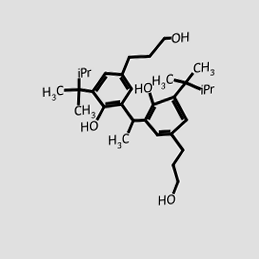 CC(c1cc(CCCO)cc(C(C)(C)C(C)C)c1O)c1cc(CCCO)cc(C(C)(C)C(C)C)c1O